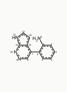 Nc1ccccc1-c1cnnc2[nH]ccc12